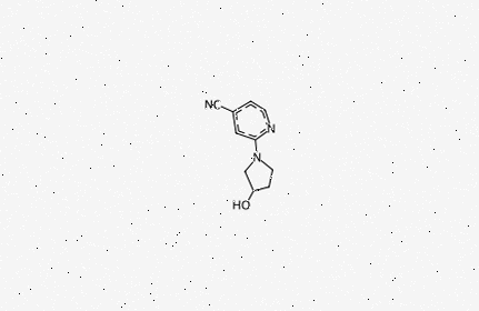 N#Cc1ccnc(N2CCC(O)C2)c1